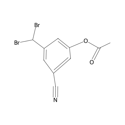 CC(=O)Oc1cc(C#N)cc(C(Br)Br)c1